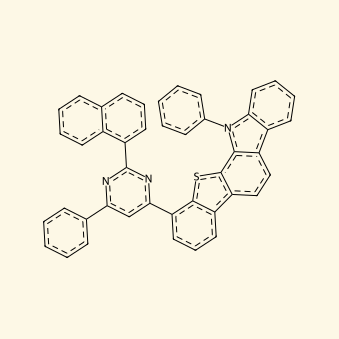 c1ccc(-c2cc(-c3cccc4c3sc3c4ccc4c5ccccc5n(-c5ccccc5)c43)nc(-c3cccc4ccccc34)n2)cc1